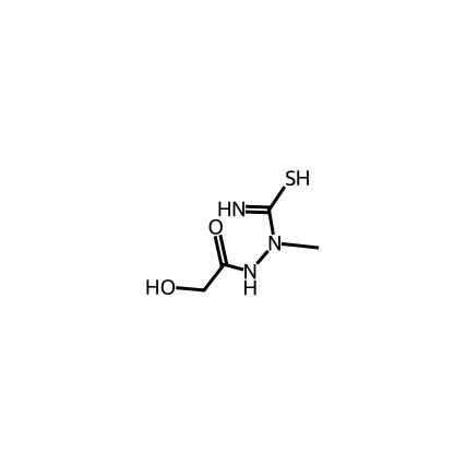 CN(NC(=O)CO)C(=N)S